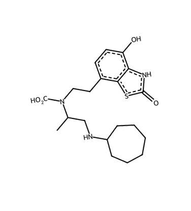 CC(CNC1CCCCCC1)N(CCc1ccc(O)c2[nH]c(=O)sc12)C(=O)O